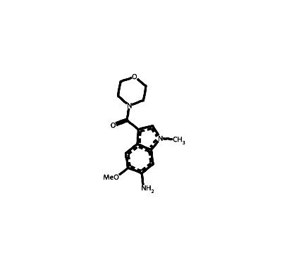 COc1cc2c(C(=O)N3CCOCC3)cn(C)c2cc1N